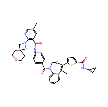 CC1=C(c2ccc(C(=O)NC3CC3)s2)CCN(C(=O)c2ccc(NC(=O)c3cc(C)cnc3N3CC4(CCOCC4)C3)cc2)c2ccccc21